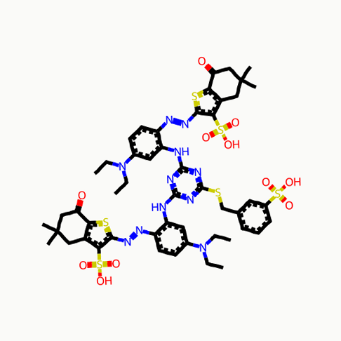 CCN(CC)c1ccc(/N=N/c2sc3c(c2S(=O)(=O)O)CC(C)(C)CC3=O)c(Nc2nc(Nc3cc(N(CC)CC)ccc3/N=N/c3sc4c(c3S(=O)(=O)O)CC(C)(C)CC4=O)nc(SCc3cccc(S(=O)(=O)O)c3)n2)c1